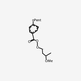 CCCCCc1ccc(C(=O)OO[CH]CC(C)OC)cc1